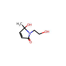 CC1(O)C=CC(=O)N1CCO